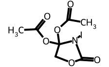 CC(=O)OC1(OC(C)=O)COC(=O)N1I